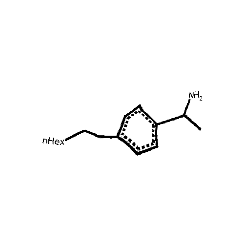 CCCCCCCCc1ccc([C](C)N)cc1